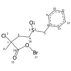 CC(Cl)(CC[S+]([O-])Cc1ccccc1)C(=O)OBr